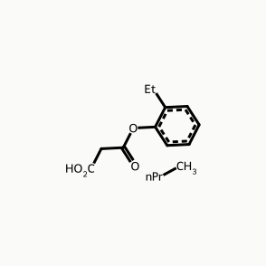 CCCC.CCc1ccccc1OC(=O)CC(=O)O